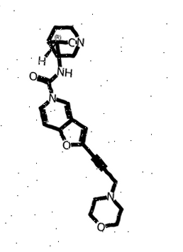 O=C(N[C@H]1CN2CCC1CC2)N1C=CC2OC(C#CCN3CCOCC3)=CC2=C1